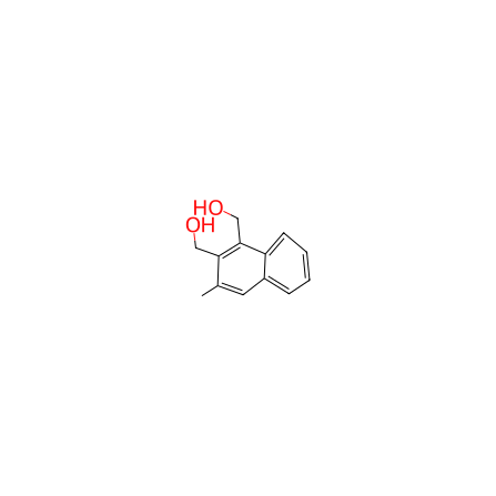 Cc1cc2ccccc2c(CO)c1CO